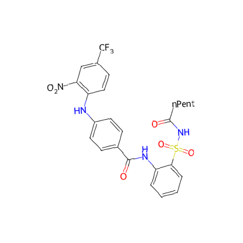 CCCCCC(=O)NS(=O)(=O)c1ccccc1NC(=O)c1ccc(Nc2ccc(C(F)(F)F)cc2[N+](=O)[O-])cc1